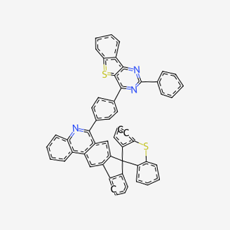 c1ccc(-c2nc(-c3ccc(-c4nc5ccccc5c5cc6c(cc45)C4(c5ccccc5Sc5ccccc54)c4ccccc4-6)cc3)c3sc4ccccc4c3n2)cc1